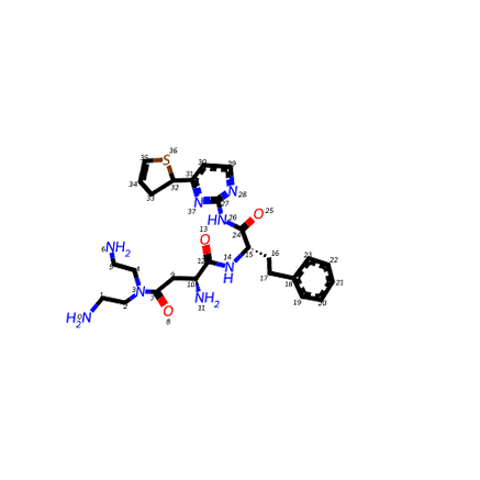 NCCN(CCN)C(=O)C[C@H](N)C(=O)N[C@@H](CCc1ccccc1)C(=O)Nc1nccc(C2CC=CS2)n1